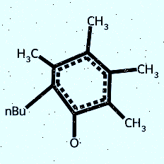 CCCCc1c(C)c(C)c(C)c(C)c1[O]